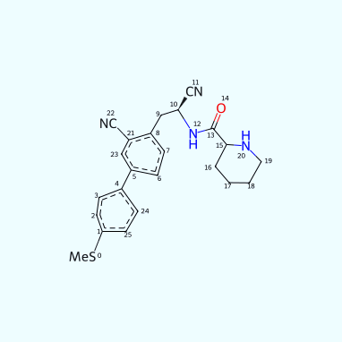 CSc1ccc(-c2ccc(C[C@@H](C#N)NC(=O)C3CCCCN3)c(C#N)c2)cc1